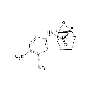 O=C(Nc1ccc([N+](=O)[O-])c(C(F)(F)F)c1)[C@]12O[C@H]1C1CCC2CC1